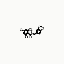 O=C(NCc1ccc2c(c1)OCO2)c1c(Cl)c[n+]([O-])cc1Cl